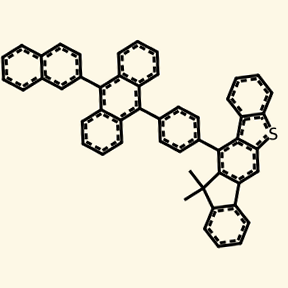 CC1(C)c2ccccc2-c2cc3sc4ccccc4c3c(-c3ccc(-c4c5ccccc5c(-c5ccc6ccccc6c5)c5ccccc45)cc3)c21